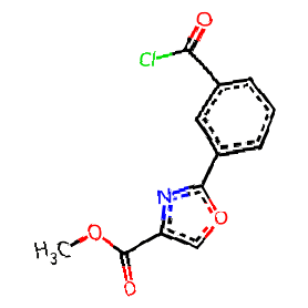 COC(=O)c1coc(-c2cccc(C(=O)Cl)c2)n1